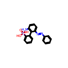 Nc1cccc(N=Nc2ccccc2)c1-c1ccccc1P(=O)(O)O